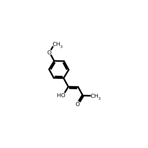 COc1ccc(/C(O)=C/C(C)=O)cc1